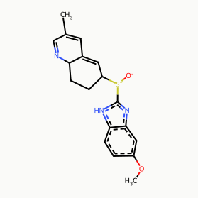 COc1ccc2[nH]c([S+]([O-])C3C=C4C=C(C)C=NC4CC3)nc2c1